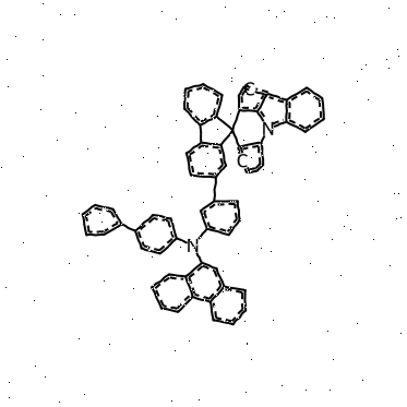 c1ccc(-c2ccc(N(c3cccc(-c4ccc5c(c4)C4(c6ccccc6-5)c5ccccc5-n5c6ccccc6c6cccc4c65)c3)c3cc4ccccc4c4ccccc34)cc2)cc1